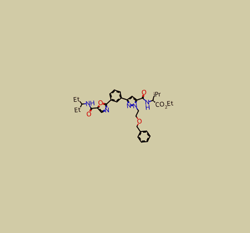 CCOC(=O)[C@@H](NC(=O)c1cc(-c2cccc(-c3ncc(C(=O)NC(CC)CC)o3)c2)nn1CCOCc1ccccc1)C(C)C